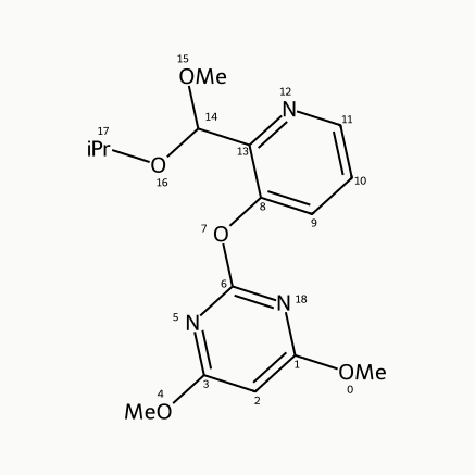 COc1cc(OC)nc(Oc2cccnc2C(OC)OC(C)C)n1